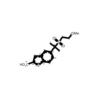 COCCS(=O)(=O)C(C)(C)c1ccc2sc(C(=O)O)cc2c1